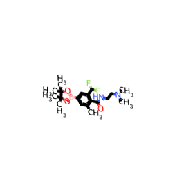 Cc1cc(B2OC(C)(C)C(C)(C)O2)cc(C(F)F)c1C(=O)NCCN(C)C